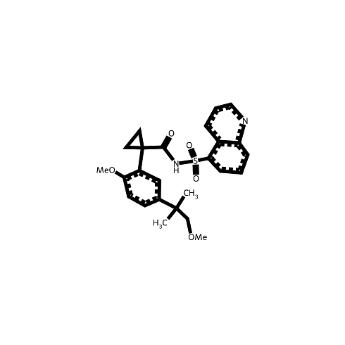 COCC(C)(C)c1ccc(OC)c(C2(C(=O)NS(=O)(=O)c3cccc4ncccc34)CC2)c1